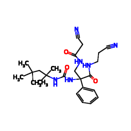 CC(C)(C)CC(C)(C)NC(=O)NC(CNC(=O)CC#N)(C(=O)NCCC#N)c1ccccc1